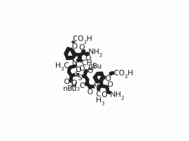 CCCCOC(=O)C(CC(C)C(=O)n1c(C)c(C(=O)C(N)=O)c2c(OCC(=O)O)cccc21)SSC(CC(C)C(=O)n1c(C)c(C(=O)C(N)=O)c2c(OCC(=O)O)cccc21)C(=O)OCCCC